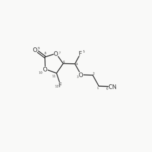 N#CCCOC(F)C1OC(=O)OC1F